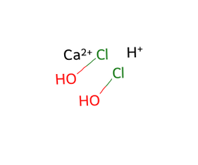 OCl.OCl.[Ca+2].[H+]